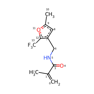 C=C(C)C(=O)NCc1cc(C)oc1C(F)(F)F